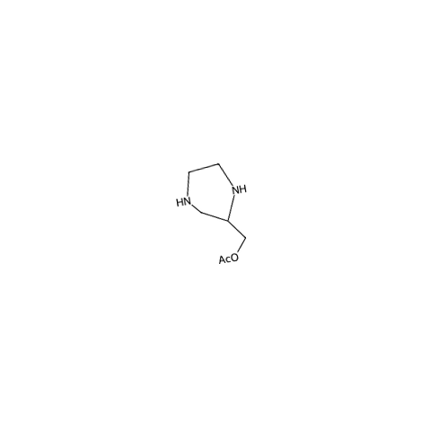 CC(=O)OCC1CNCCN1